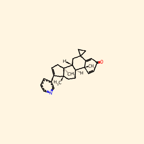 C[C@]12C=CC(=O)C=C1C1(CC1)C[C@@H]1[C@@H]2CC[C@]2(C)C(c3cccnc3)=CC[C@@]12C